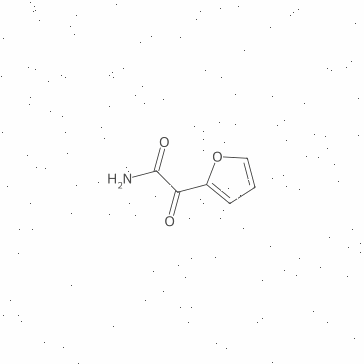 NC(=O)C(=O)c1ccco1